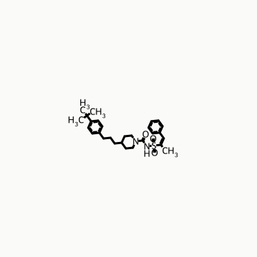 CC(=Cc1ccccc1)S(=O)(=O)NC(=O)N1CCC(CCCc2ccc(C(C)(C)C)cc2)CC1